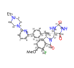 CCN1CCN(c2cccc(-c3ccc(C#C[C@]4(CN5Cc6ccc(OC)c(F)c6C5=O)NC(=O)NC4=O)cc3)n2)CC1